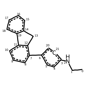 CCNc1ccc(-c2cccc3c2Cc2ccccc2-3)cc1